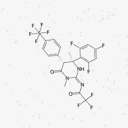 CN1C(=O)[C@H](c2ccc(S(F)(F)(F)(F)F)cc2)[C@@](C)(c2c(F)cc(F)cc2F)N/C1=N/C(=O)C(F)(F)F